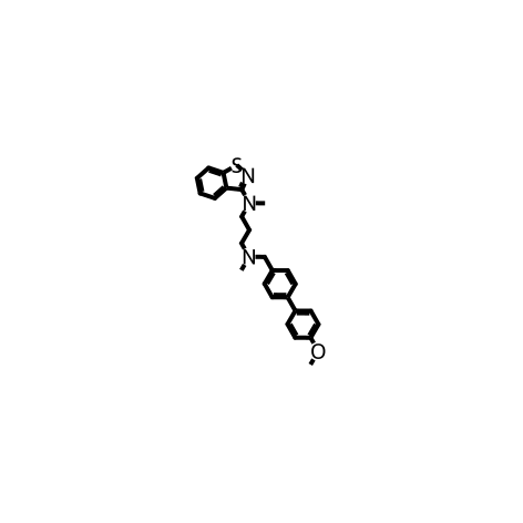 COc1ccc(-c2ccc(CN(C)CCCN(C)c3nsc4ccccc34)cc2)cc1